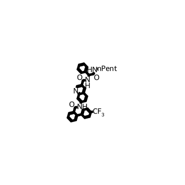 CCCCCNC(=O)C(NC(=O)c1cnc2cc(NC(=O)c3ccccc3-c3ccc(C(F)(F)F)cc3)ccc2c1)c1ccccc1